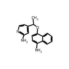 CC(Oc1ccc(N)c2ccccc12)c1ccnc(N)c1